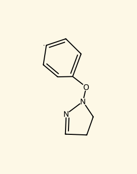 [c]1ccc(ON2CCC=N2)cc1